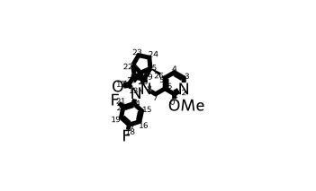 COc1ncccc1Cn1c2c(c(=O)n1-c1ccc(F)cc1F)C1CC[C@@]2(C)C1(C)C